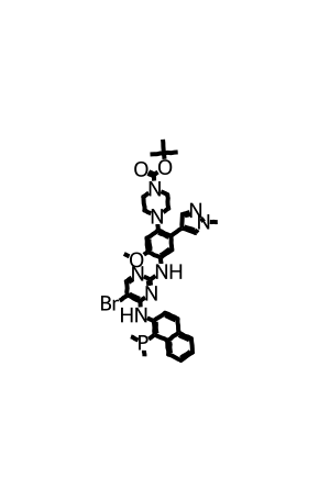 COc1cc(N2CCN(C(=O)OC(C)(C)C)CC2)c(-c2cnn(C)c2)cc1Nc1ncc(Br)c(Nc2ccc3ccccc3c2P(C)C)n1